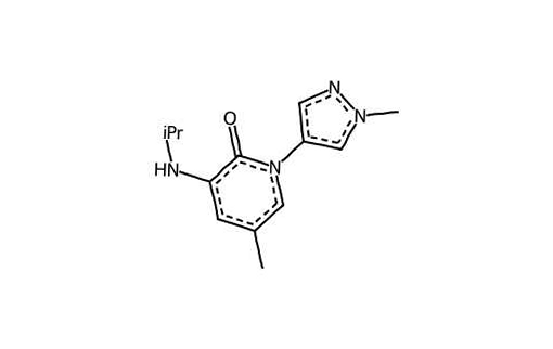 Cc1cc(NC(C)C)c(=O)n(-c2cnn(C)c2)c1